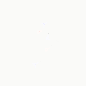 CN1CCCC1CCOc1cccc2ccc(C(=O)N3CCCC3)nc12